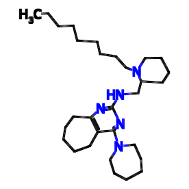 CCCCCCCCCN1CCCCC1CNc1nc2c(c(N3CCCCCC3)n1)CCCCC2